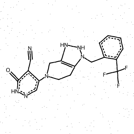 N#Cc1c(N2CCC3=C(C2)NNN3Cc2ccccc2C(F)(F)F)cn[nH]c1=O